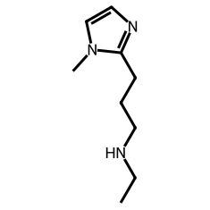 CCNCCCc1nccn1C